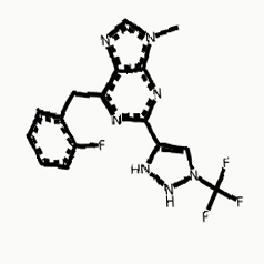 Cn1cnc2c(Cc3ccccc3F)nc(C3=CN(C(F)(F)F)NN3)nc21